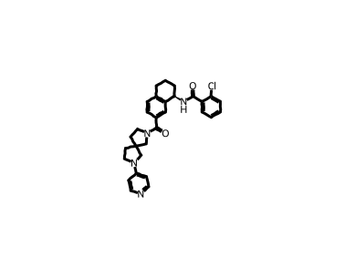 O=C(N[C@@H]1CCCc2ccc(C(=O)N3CCC4(CCN(c5ccncc5)C4)C3)cc21)c1ccccc1Cl